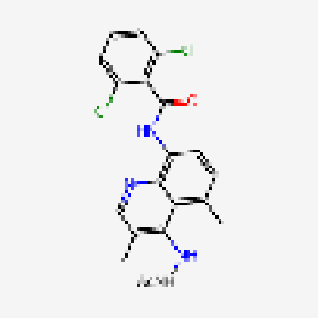 CC(=O)NNc1c(C)cnc2c(NC(=O)c3c(Cl)cccc3Cl)ccc(C)c12